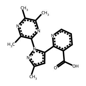 Cc1cc(-c2ncccc2C(=O)O)n(-c2nc(C)c(C)nc2C)n1